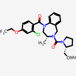 COC[C@H]1CCCN1C(=O)N1Cc2ccccc2N(C(=O)c2ccc(OCC(F)(F)F)cc2Cl)C[C@H]1C